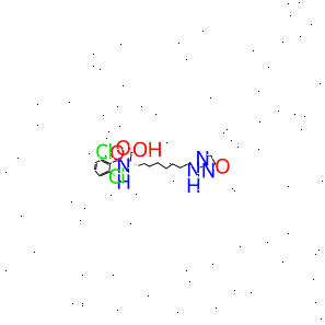 CN1C(=O)CN=C1NCCCCCCCC[C@H](NC(=O)c1c(Cl)cccc1Cl)C(=O)O